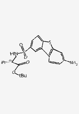 CC(C)[C@H](NS(=O)(=O)c1ccc2sc3cc(N)ccc3c2c1)C(=O)OC(C)(C)C